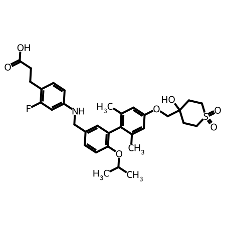 Cc1cc(OCC2(O)CCS(=O)(=O)CC2)cc(C)c1-c1cc(CNc2ccc(CCC(=O)O)c(F)c2)ccc1OC(C)C